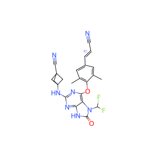 Cc1cc(/C=C/C#N)cc(C)c1Oc1nc(NC23CC(C#N)(C2)C3)nc2[nH]c(=O)n(C(F)F)c12